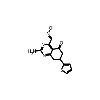 Nc1nc(C=NO)c2c(n1)CC(c1cccs1)CC2=O